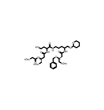 CCCCCCCCCCCC(=O)O[C@H](CCCCCCCCCCC)CC(=O)NC(CCO)C(=O)NCCCC(COC1CCCCO1)NC(=O)C[C@@H](CCCCCCCCCCC)OCc1ccccc1